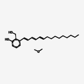 CCCCCCCCCC=CC=CC=Cc1cccc(O)c1CO.COC